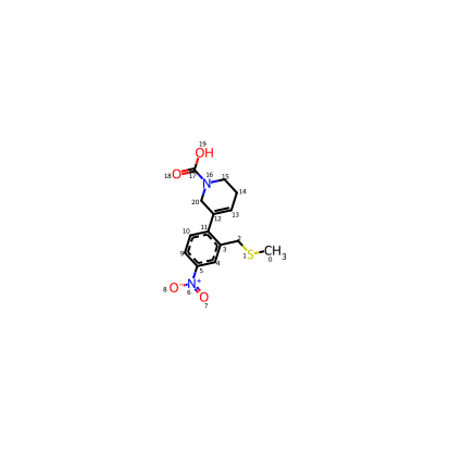 CSCc1cc([N+](=O)[O-])ccc1C1=CCCN(C(=O)O)C1